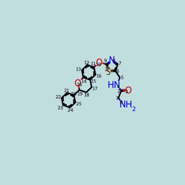 NCC(=O)NCc1cnc(Oc2ccc3c(c2)CCC(c2ccccc2)O3)s1